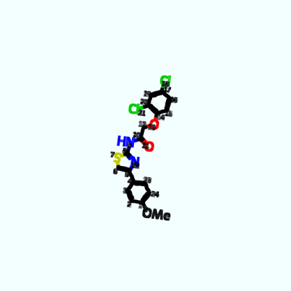 COc1ccc(-c2csc(NC(=O)COc3ccc(Cl)cc3Cl)n2)cc1